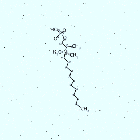 CCCCCCCCCCCC[N+](C)(C)C(C)COP(=O)([O-])O